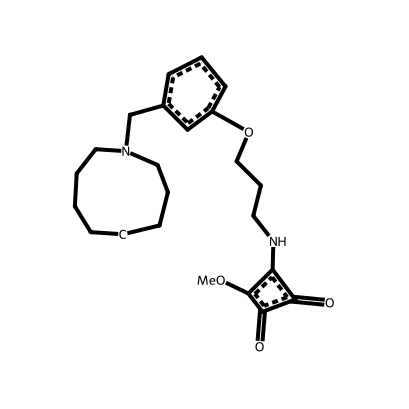 COc1c(NCCCOc2cccc(CN3CCCCCCCC3)c2)c(=O)c1=O